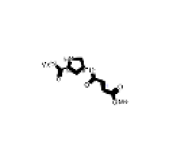 CNC(=O)[C@@H]1C[C@@H](OC(=O)/C=C/C(=O)OC)CN1